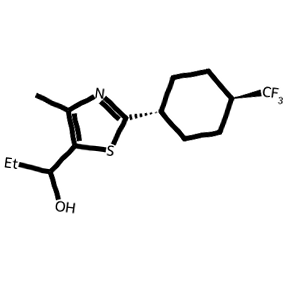 CCC(O)c1sc([C@H]2CC[C@H](C(F)(F)F)CC2)nc1C